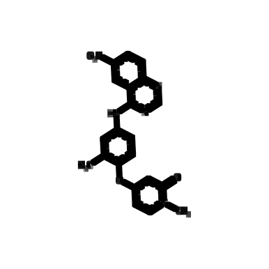 Cc1cc(Nc2ncnc3ccc([N+](=O)[O-])cc23)ccc1Oc1ccn(C)c(=O)c1